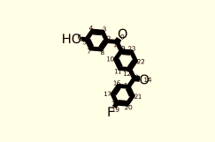 O=C(c1ccc(O)cc1)c1ccc(C(=O)c2ccc(F)cc2)cc1